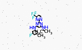 Cc1cc(F)cc(Nc2cc(NC(C)C)nc(-c3nccc(C(F)(F)F)n3)n2)c1